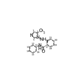 COc1cncn1N.O=C(Nc1ccccc1)c1ccccc1